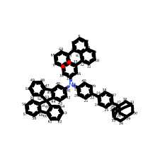 c1ccc(-c2cccc3cccc(-c4cccc(N(c5ccc(-c6ccc(C78CC9CC(CC(C9)C7)C8)cc6)cc5)c5ccc6c(c5)-c5ccccc5C65c6ccccc6-c6ccccc65)c4)c23)cc1